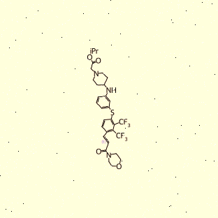 CC(C)OC(=O)CN1CCC(Nc2cccc(Sc3ccc(/C=C/C(=O)N4CCOCC4)c(C(F)(F)F)c3C(F)(F)F)c2)CC1